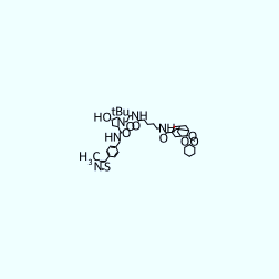 Cc1ncsc1-c1ccc(CNC(=O)C2CC(O)CN2C(=O)C(NC(=O)CCCCNC(=O)C23CC4CC(C2)C2(OOC5(CCCCC5)O2)C(C4)C3)C(C)(C)C)cc1